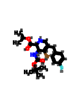 CC(C)OC(=O)C1N=CC(Cc2ccc(F)cc2)=C(Br)C1NC(=O)OC(C)(C)C